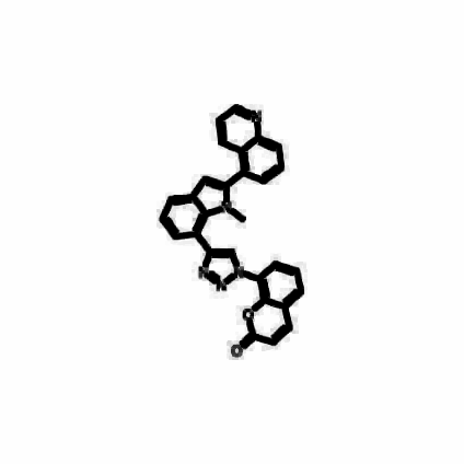 Cn1c(-c2cccc3ncccc23)cc2cccc(-c3cn(-c4cccc5ccc(=O)oc45)nn3)c21